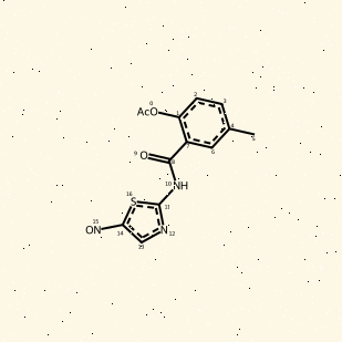 CC(=O)Oc1ccc(C)cc1C(=O)Nc1ncc(N=O)s1